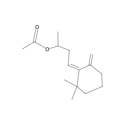 C=C1CCCC(C)(C)C1=CCC(C)OC(C)=O